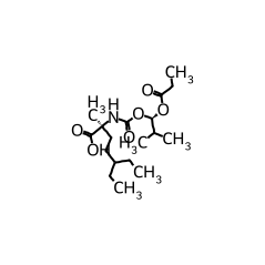 CCC(=O)O[C@H](OC(=O)N[C@@](C)(CCC(CC)CC)C(=O)O)C(C)C